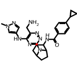 Cn1cc(Nc2nc(N3C4CCC(NC(=O)c5ccc(C6CC6)cc5)C3CC4)nnc2CN)cn1